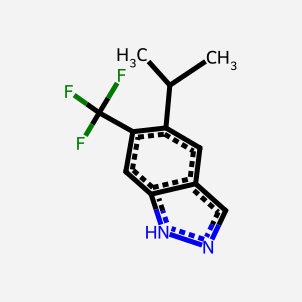 CC(C)c1cc2cn[nH]c2cc1C(F)(F)F